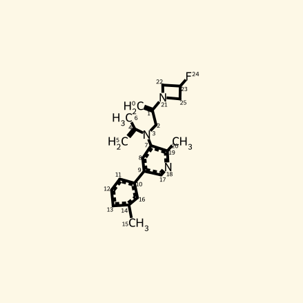 C=C(CN(C(=C)C)c1cc(-c2cccc(C)c2)cnc1C)N1CC(F)C1